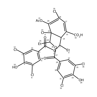 CCC(OC(=O)c1cc(Cl)c(O)c(Cl)c1)C1C(C(=O)O)=CC(Cl)=C(OC(C)=O)C1(Cl)C(CC)OC(=O)c1cc(Cl)c(O)c(Cl)c1